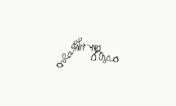 COC(=O)[C@H](CCCCNC(=O)COCC(=O)OCc1ccccc1)NC(=O)COCC(=O)OCc1ccccc1